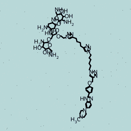 CN1CCN(c2ccc3nc(-c4ccc(OCc5cn(CCCCCCn6cc(CCCCc7cn(CCOC(OC8C(O)[C@H](N)CC(N)[C@H]8O[C@H]8OC(CN)[C@@H](O)C(O)C8N)C(O)CO[C@H]8OC(CN)[C@@H](O)C(O)C8N)nn7)nn6)nn5)cc4)[nH]c3c2)CC1